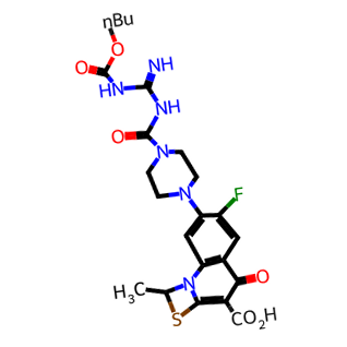 CCCCOC(=O)NC(=N)NC(=O)N1CCN(c2cc3c(cc2F)c(=O)c(C(=O)O)c2n3C(C)S2)CC1